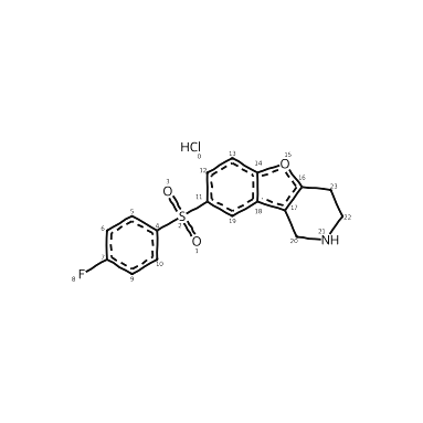 Cl.O=S(=O)(c1ccc(F)cc1)c1ccc2oc3c(c2c1)CNCC3